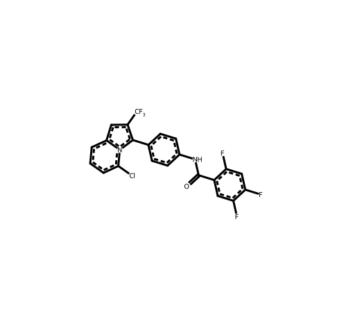 O=C(Nc1ccc(-c2c(C(F)(F)F)cc3cccc(Cl)n23)cc1)c1cc(F)c(F)cc1F